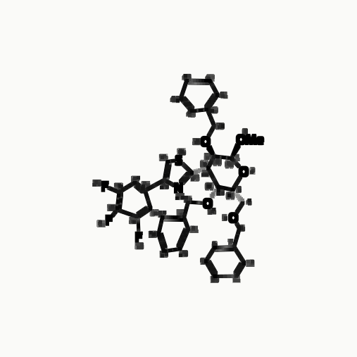 CO[C@H]1O[C@H](COCc2ccccc2)[C@H](OCc2ccccc2)[C@H](c2nc(-c3cc(F)c(F)c(F)c3)cs2)[C@H]1OCc1ccccc1